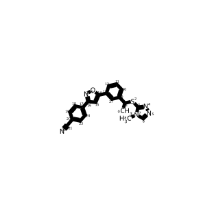 CC(Sc1nncn1C)c1cccc(-c2cc(-c3ccc(C#N)cc3)no2)c1